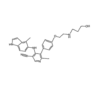 Cc1ncc(C#N)c(Nc2ccc3[nH]ccc3c2C)c1-c1ccc(OCCNCCCO)cc1